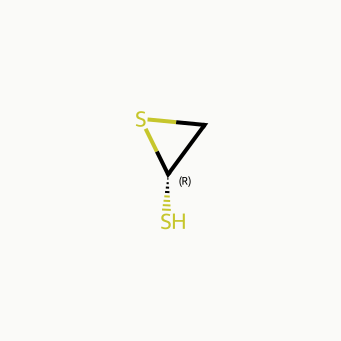 S[C@H]1CS1